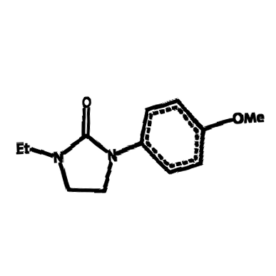 CCN1CCN(c2ccc(OC)cc2)C1=O